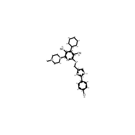 CN1CCN(c2nc(SCc3csc(-c4ccc(Cl)cc4)n3)c(C#N)c(C3CCCCC3)c2C#N)CC1